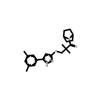 Cc1cc(C)cc(-c2cc(OCC(C)(C)C(=O)N3C4CCC3CC4)n[nH]2)c1